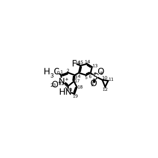 Cc1cc(-c2cc(S(=O)(=O)C3CC3)ccc2F)c2cc[nH]c2[n+]1[O-]